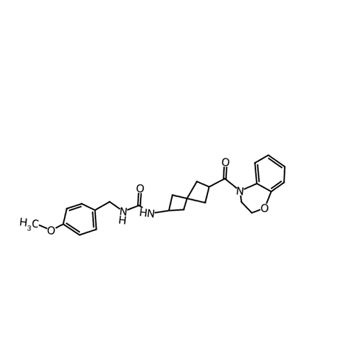 COc1ccc(CNC(=O)NC2CC3(C2)CC(C(=O)N2CCOc4ccccc42)C3)cc1